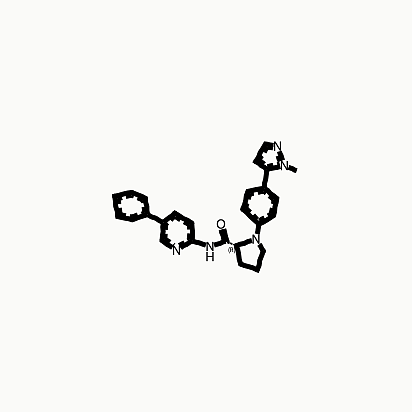 Cn1nccc1-c1ccc(N2CCC[C@@H]2C(=O)Nc2ccc(-c3ccccc3)cn2)cc1